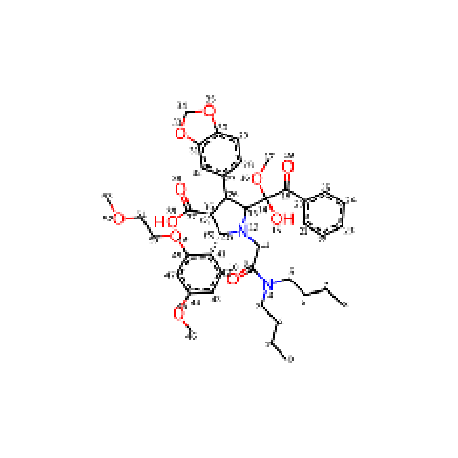 CCCCN(CCCC)C(=O)CN1C(C(O)(OC)C(=O)c2ccccc2)C(c2ccc3c(c2)OCO3)[C@H](C(=O)O)[C@H]1c1ccc(OC)cc1OCCOC